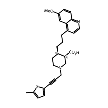 COc1ccc2nccc(CCC[C@@H]3CCN(CC#Cc4ccc(C)s4)C[C@@H]3C(=O)O)c2c1